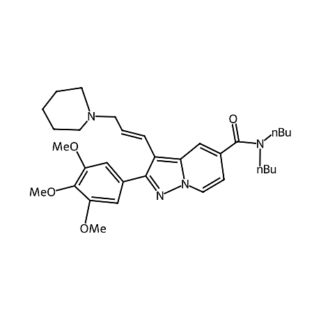 CCCCN(CCCC)C(=O)c1ccn2nc(-c3cc(OC)c(OC)c(OC)c3)c(/C=C/CN3CCCCC3)c2c1